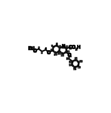 CCOCCCOc1ccc2nc(C(=O)O)c(OCc3ccccc3)cc2c1